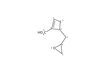 O=C(O)C1=CSC1CC1CO1